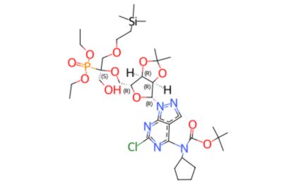 CCOP(=O)(OCC)[C@@](CO)(COCC[Si](C)(C)C)OC[C@H]1O[C@@H](n2ncc3c(N(C(=O)OC(C)(C)C)C4CCCC4)nc(Cl)nc32)[C@@H]2OC(C)(C)O[C@@H]21